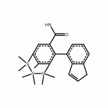 Cc1c2cc(C([NH])=O)c(-c3cccc4c3C=CC4)c1[Si](C)(C)[Si](C)(C)[Si]2(C)C